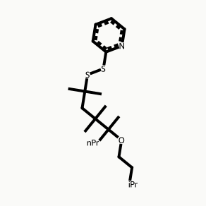 CCCC(C)(OCCC(C)C)C(C)(C)CC(C)(C)SSc1ccccn1